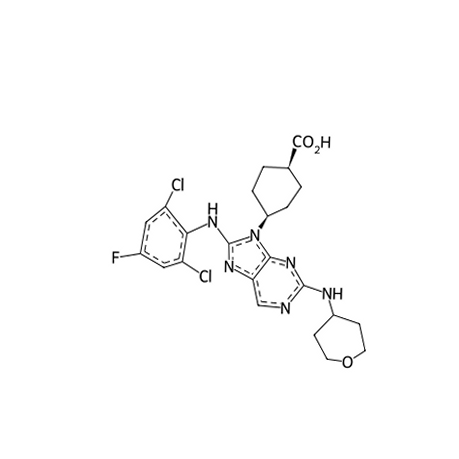 O=C(O)[C@H]1CC[C@@H](n2c(Nc3c(Cl)cc(F)cc3Cl)nc3cnc(NC4CCOCC4)nc32)CC1